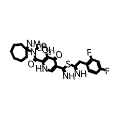 CNC1(N(C)C(=O)c2[nH]cc(C(=N)SC(=N)Cc3ccc(F)cc3F)c(=O)c2O)CCCCCC1